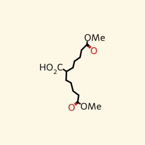 COC(=O)CCCCC(CCCCC(=O)OC)C(=O)O